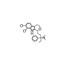 CCC(CCC1OCCc2c1[nH]c1c(Cl)c(Cl)ccc21)(c1ccccc1)N(C)C